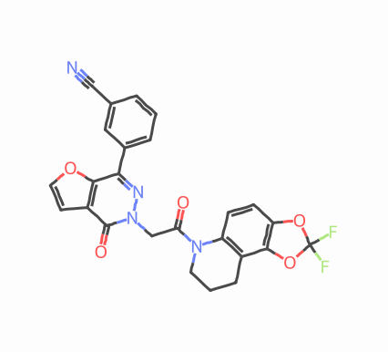 N#Cc1cccc(-c2nn(CC(=O)N3CCCc4c3ccc3c4OC(F)(F)O3)c(=O)c3ccoc23)c1